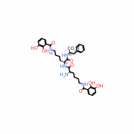 N[C@@H](CCCCNC(=O)c1cccc(O)c1O)C(=O)N[C@@H](CCCCNC(=O)c1cccc(O)c1O)C(=O)N[C@H](Cc1ccccc1)C(=O)O